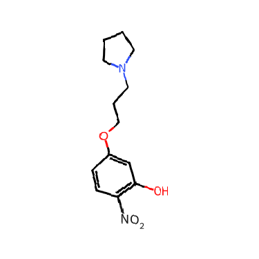 O=[N+]([O-])c1ccc(OCCCN2CCCC2)cc1O